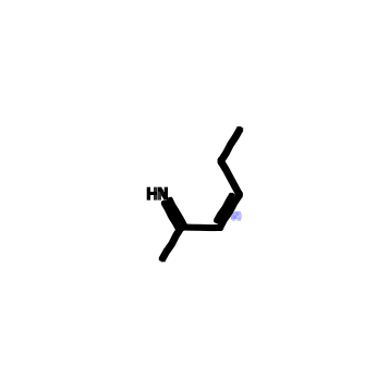 CC/C=C\C(C)=N